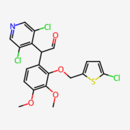 COc1ccc(C(C=O)c2c(Cl)cncc2Cl)c(OCc2ccc(Cl)s2)c1OC